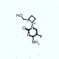 Nc1nc(=O)n([C@@H]2CC[C@@H]2CO)cc1F